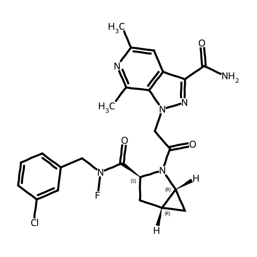 Cc1cc2c(C(N)=O)nn(CC(=O)N3[C@@H]4C[C@@H]4C[C@H]3C(=O)N(F)Cc3cccc(Cl)c3)c2c(C)n1